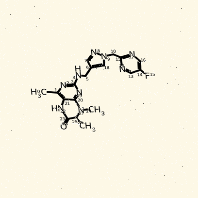 Cc1nc(NCc2cnn(Cc3ncc(F)cn3)c2)nc2c1NC(=O)[C@H](C)N2C